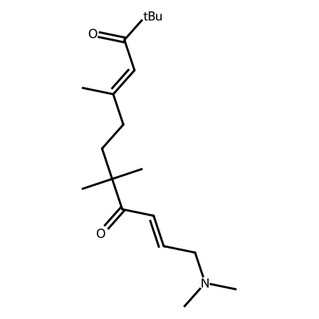 C/C(=C\C(=O)C(C)(C)C)CCC(C)(C)C(=O)/C=C/CN(C)C